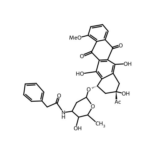 COc1cccc2c1C(=O)c1c(O)c3c(c(O)c1C2=O)C[C@@](O)(C(C)=O)C[C@@H]3OC1CC(NC(=O)Cc2ccccc2)C(O)C(C)O1